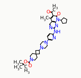 CC(=O)c1c(C)c2cnc(Nc3ccc(N4CCN(C5CC6(CCN(C(=O)OC(C)(C)C)CC6)C5)CC4)cn3)nc2n(C2CCCC2)c1=O